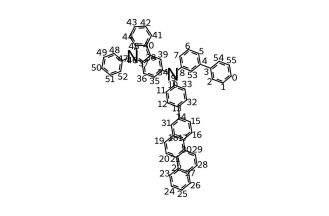 c1ccc(-c2cccc(N(c3ccc(-c4ccc5c(ccc6c7ccccc7ccc56)c4)cc3)c3ccc4c(c3)c3ccccc3n4-c3ccccc3)c2)cc1